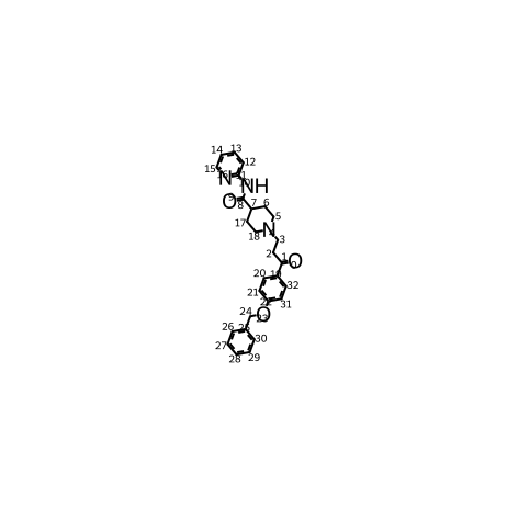 O=C(CCN1CCC(C(=O)Nc2ccccn2)CC1)c1ccc(OCc2ccccc2)cc1